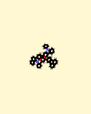 c1ccc(-n2c3ccccc3c3ccc(-c4ccc5c6ccc7ccccc7c6n(-c6ccccc6-c6cccc(-c7ccc8c(c7)-c7cccc9cccc-8c79)c6)c5c4)cc32)cc1